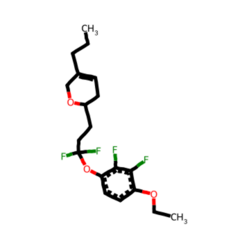 CCCC1=CCC(CCC(F)(F)Oc2ccc(OCC)c(F)c2F)OC1